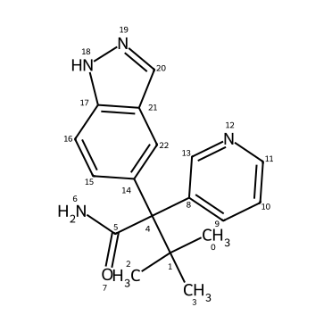 CC(C)(C)C(C(N)=O)(c1cccnc1)c1ccc2[nH]ncc2c1